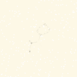 NC(=O)[S+]([O-])c1ccccc1